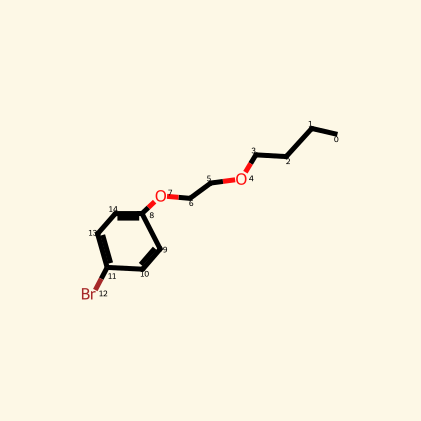 CCCCOCCOc1ccc(Br)cc1